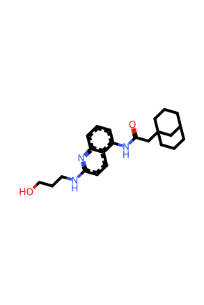 O=C(CC12CCCC(CCC1)C2)Nc1cccc2nc(NCCCO)ccc12